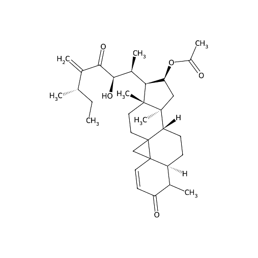 C=C(C(=O)[C@H](O)[C@@H](C)[C@H]1[C@@H](OC(C)=O)C[C@@]2(C)[C@@H]3CC[C@H]4C(C)C(=O)C=CC45CC35CC[C@]12C)[C@@H](C)CC